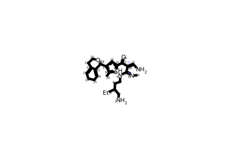 CCC(CN)CCNC(=N/C)/C(=C\N)C(=O)c1cc(C2OCCC3=CCCC=C32)c(C)s1